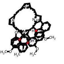 COc1ccc(-c2c(-c3ccc(OC)c4cccc(O)c34)c3c(-c4ccc(OC)c5cccc(O)c45)c4nc(cc5ccc(cc6nc(cc2n3-c2ccc(OC)c3cccc(O)c23)C=C6)[nH]5)C=C4)c2c(O)cccc12